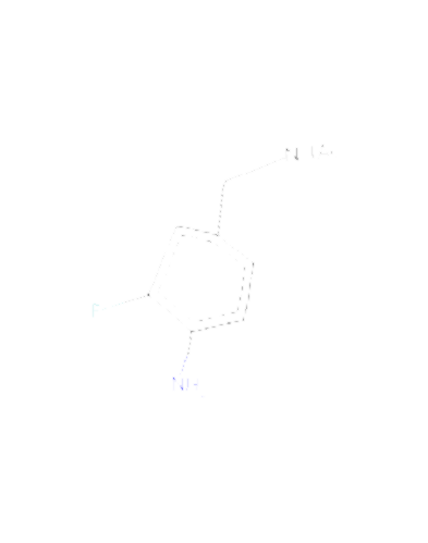 CC(=O)NCc1ccc(N)c(F)c1